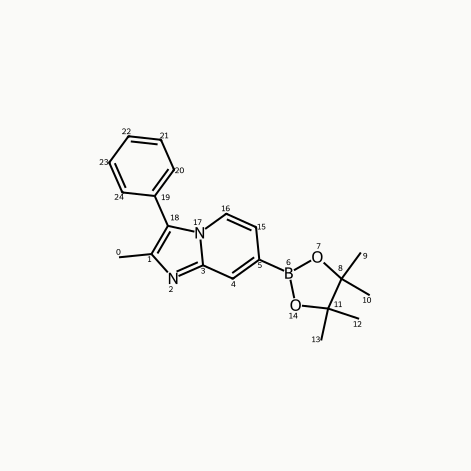 Cc1nc2cc(B3OC(C)(C)C(C)(C)O3)ccn2c1-c1ccccc1